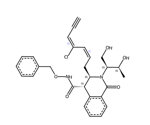 C#C/C=C(Cl)\C=C/C[C@@H]1[C@@H](C(=O)NOCc2ccccc2)c2ccccc2C(=O)N1[C@@H](CO)[C@H](C)O